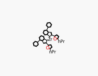 CCCc1ccc(C2=Cc3c(-c4ccccc4)cccc3[CH]2[Zr][CH]2C(c3ccc(CCC)o3)=Cc3c(-c4ccccc4)cccc32)o1